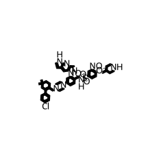 CC1(C)CCC(CN2CCN(c3ccc(C(=O)NS(=O)(=O)c4ccc(OCC5CCNCC5)c([N+](=O)[O-])c4)c(-n4ncc5nc6[nH]ccc6cc54)c3)CC2)=C(c2ccc(Cl)cc2)C1